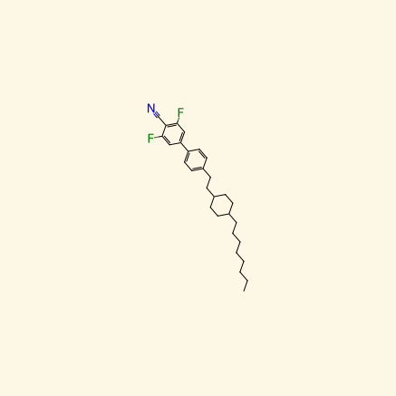 CCCCCCCCC1CCC(CCc2ccc(-c3cc(F)c(C#N)c(F)c3)cc2)CC1